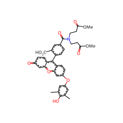 COC(=O)CCN(CCC(=O)OC)C(=O)c1ccc(-c2c3ccc(=O)cc-3oc3cc(Oc4cc(C)c(O)c(C)c4)ccc23)c(C(=O)O)c1